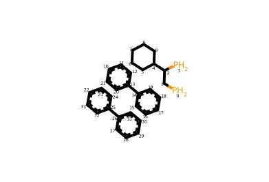 PCC(P)C1CCCCC1.c1ccc(-c2ccccc2)cc1.c1ccc(-c2ccccc2)cc1